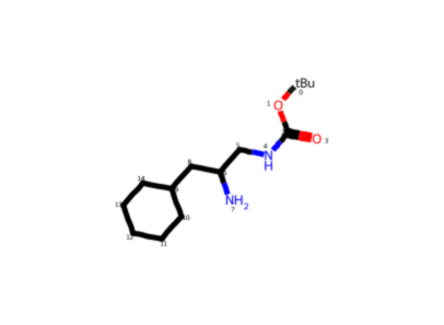 CC(C)(C)OC(=O)NCC(N)CC1CCCCC1